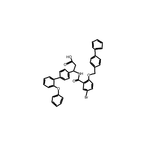 O=C(O)CC(NC(=O)c1cc(Br)ccc1OCc1ccc(-c2ccccc2)cc1)c1ccc(-c2ccccc2Oc2ccccc2)cc1